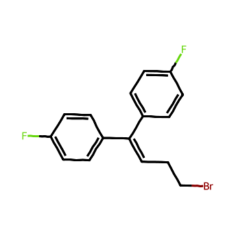 Fc1ccc(C(=CCCBr)c2ccc(F)cc2)cc1